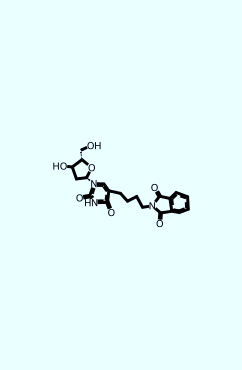 O=C1c2ccccc2C(=O)N1CCCCc1cn([C@@H]2CC(O)[C@H](CO)O2)c(=O)[nH]c1=O